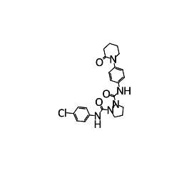 O=C1CCCCN1c1ccc(NC(=O)N2CCCN2C(=O)Nc2ccc(Cl)cc2)cc1